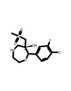 CS(=O)(=O)C[C@@]1(O)CNCCOC1c1ccc(Cl)c(F)c1